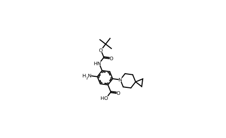 CC(C)(C)OC(=O)Nc1cc(N2CCC3(CC2)CC3)c(C(=O)O)cc1N